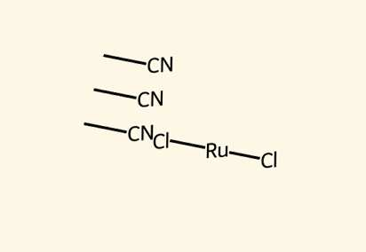 CC#N.CC#N.CC#N.[Cl][Ru][Cl]